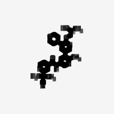 Cc1ncc(NC(=O)c2ccnc(C(C)(C)C#N)c2)cc1-c1cnc(OC[C@@H](C)O)c(N2CCOCC2)c1